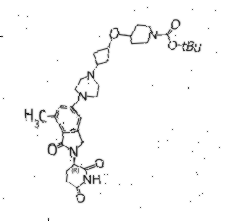 Cc1cc(N2CCN(C3CC(OC4CCN(C(=O)OC(C)(C)C)CC4)C3)CC2)cc2c1C(=O)N([C@@H]1CCC(=O)NC1=O)C2